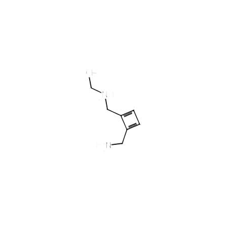 CCNCC1=CC=C1CN